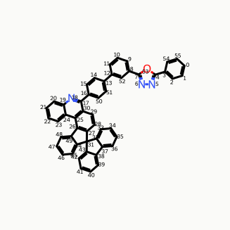 c1ccc(-c2nnc(-c3cccc(-c4ccc(-c5nc6ccccc6c6c7c(ccc56)C5(c6ccccc6-c6ccccc65)c5ccccc5-7)cc4)c3)o2)cc1